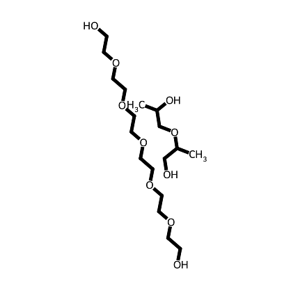 CC(O)COC(C)CO.OCCOCCOCCOCCOCCOCCO